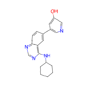 Oc1cncc(-c2ccc3ncnc(NC4CCCCC4)c3c2)c1